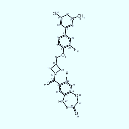 CN1C=C(c2ccc(OCC3CN(C(=O)c4cc5c(cc4F)OCC(=O)CN5)C3)c(F)c2)C=C(Cl)C1